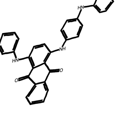 O=C1c2ccccc2C(=O)c2c(Nc3ccc(Nc4ccccc4)cc3)ccc(Nc3ccccc3)c21